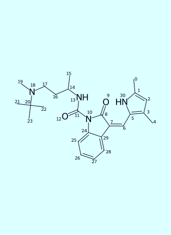 Cc1cc(C)c(/C=C2\C(=O)N(C(=O)NC(C)CCN(C)C(C)(C)C)c3ccccc32)[nH]1